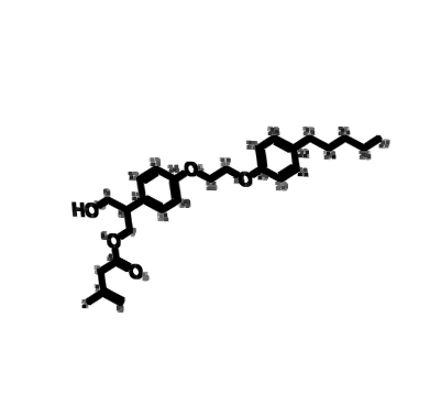 C=C(C)CC(=O)OCC(CO)c1ccc(OCCOc2ccc(CCCCC)cc2)cc1